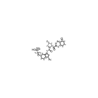 CC(=O)c1cn(CC(=O)N2C[C@H](F)C[C@H]2C(=O)NCc2cccc(Cl)c2F)c2cc(OC(C)(C)[PH](=O)O)ccc12